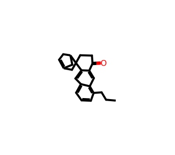 CCCc1cccc2cc3c(cc12)C(=O)CCC31CC2=CCC1C2